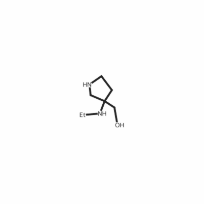 CCNC1(CO)CCNC1